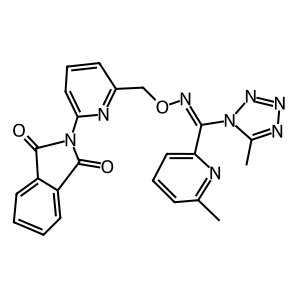 Cc1cccc(/C(=N\OCc2cccc(N3C(=O)c4ccccc4C3=O)n2)n2nnnc2C)n1